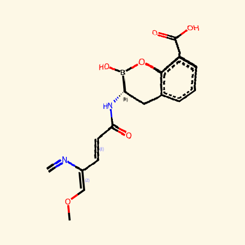 C=NC(=C\OC)/C=C/C(=O)N[C@H]1Cc2cccc(C(=O)O)c2OB1O